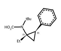 CC[C@]1(N(C(=O)O)C(C)(C)C)C[C@@H]1c1ccccc1